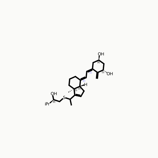 C=C1/C(=C\C=C2/CCC[C@]3(C)C(C(C)SC[C@H](O)C(C)C)=CC[C@@H]23)C[C@@H](O)C[C@@H]1O